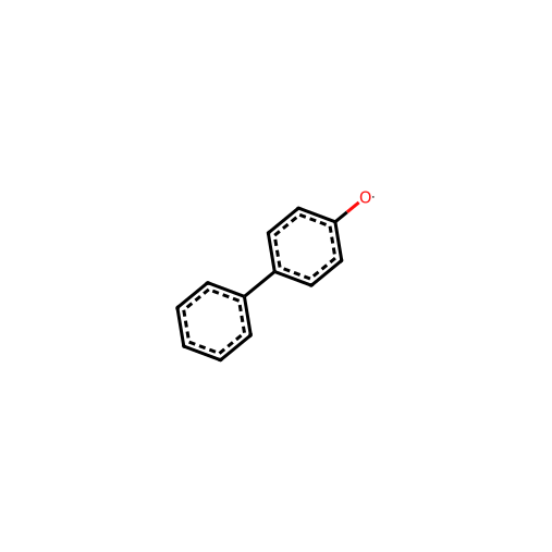 [O]c1ccc(-c2ccccc2)cc1